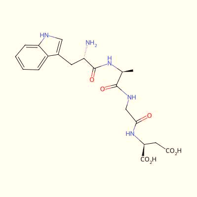 C[C@H](NC(=O)[C@@H](N)Cc1c[nH]c2ccccc12)C(=O)NCC(=O)N[C@@H](CC(=O)O)C(=O)O